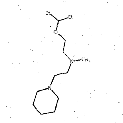 CCC(CC)OCCN(C)CCN1CCCCC1